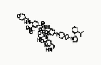 CC(C)c1ccccc1[C@@H]1CCCN1C1CC2(CCN(c3ccc(C(=O)NS(=O)(=O)c4ccc(NCC5CCOCC5)c([N+](=O)[O-])c4)c(N4c5cc6cc[nH]c6nc5O[C@@H]5COC[C@@H]54)c3)CC2)C1